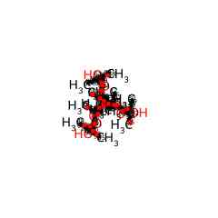 CCCCc1cc(C(C)CC(c2cc(CCCC)c(OCCC(=O)c3cc(CCCC)c(O)c(CCCC)c3)cc2C)c2cc(CCCC)c(OCCC(=O)c3cc(CCCC)c(O)c(CCCC)c3)cc2C)c(C)cc1OCCC(=O)c1cc(CCCC)c(O)c(CCCC)c1